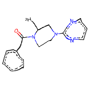 [2H]C1CN(c2ncccn2)CCN1C(=O)c1ccccc1